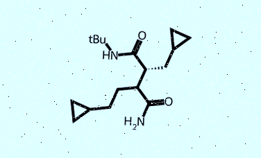 CC(C)(C)NC(=O)[C@H](CC1CC1)C(CCC1CC1)C(N)=O